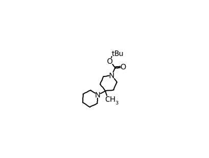 CC(C)(C)OC(=O)N1CCC(C)(N2CCCCC2)CC1